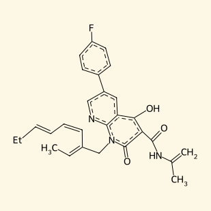 C=C(C)NC(=O)c1c(O)c2cc(-c3ccc(F)cc3)cnc2n(CC(/C=C\C=C\CC)=C/C)c1=O